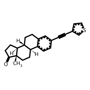 C[C@]12CC[C@@H]3c4ccc(C#Cc5ccsc5)cc4CC[C@H]3[C@@H]1CCC2=O